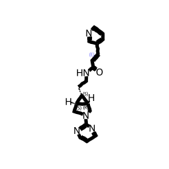 O=C(/C=C/c1cccnc1)NCC[C@@H]1[C@H]2CN(c3ncccn3)C[C@@H]12